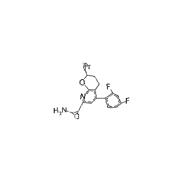 CC(C)[C@H]1CCc2c(-c3ccc(F)cc3F)cc(C3OC3N)nc2O1